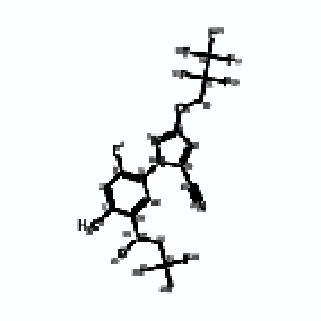 Cc1cc(F)c(-n2nc(OCC(F)(F)C(F)(F)F)cc2C#N)cc1[S+]([O-])CC(F)(F)F